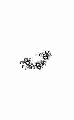 CCC1(CC)OB(O)c2cc(CNC(=O)c3ccc(C4=NOC(c5cc(Cl)c(Cl)c(Cl)c5)(C(F)(F)F)C4)c4cccn34)ccc21